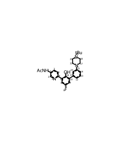 CC(=O)Nc1ccc(-c2cc(F)cc(-c3cccc(N4CCN(C(C)(C)C)CC4)c3)c2O)nc1